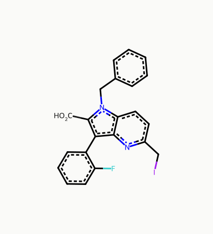 O=C(O)c1c(-c2ccccc2F)c2nc(CI)ccc2n1Cc1ccccc1